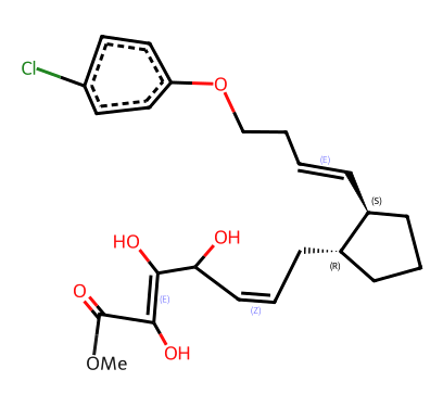 COC(=O)/C(O)=C(\O)C(O)/C=C\C[C@H]1CCC[C@@H]1/C=C/CCOc1ccc(Cl)cc1